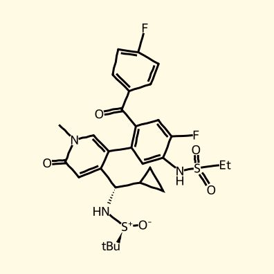 CCS(=O)(=O)Nc1cc(-c2cn(C)c(=O)cc2[C@@H](N[S@@+]([O-])C(C)(C)C)C2CC2)c(C(=O)c2ccc(F)cc2)cc1F